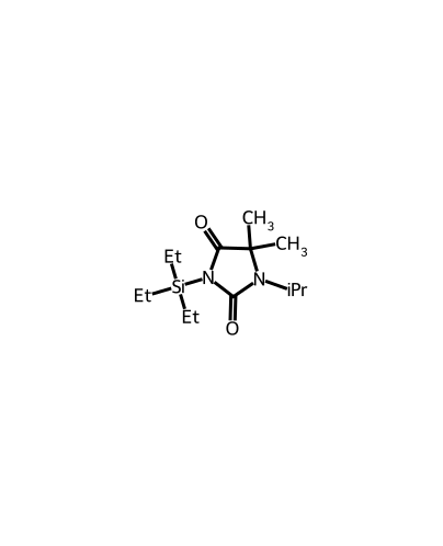 CC[Si](CC)(CC)N1C(=O)N(C(C)C)C(C)(C)C1=O